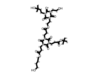 CC(C)(O)CCn1c(=O)n(CCO)c(=O)n(CCOC(=O)CCn2c(=O)n(CCC(=O)OCCCCO)c(=O)n(CCC(=O)OC(C)(C)C)c2=O)c1=O